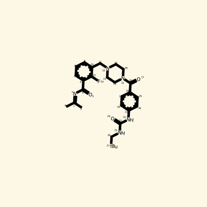 CC(C)=NC(=O)c1cccc(CN2CCN(C(=O)c3ccc(NC(=O)NCC(C)(C)C)cc3)CC2)c1F